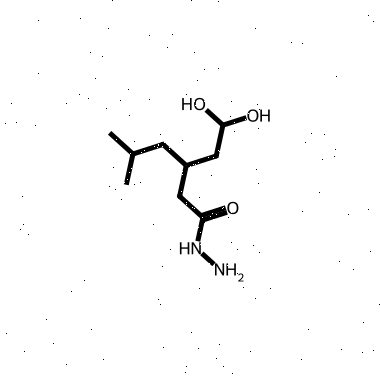 CC(C)CC(CC(=O)NN)CC(O)O